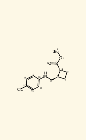 CC(C)(C)OC(=O)N1CC[C@H]1CNc1ccc(Cl)cc1